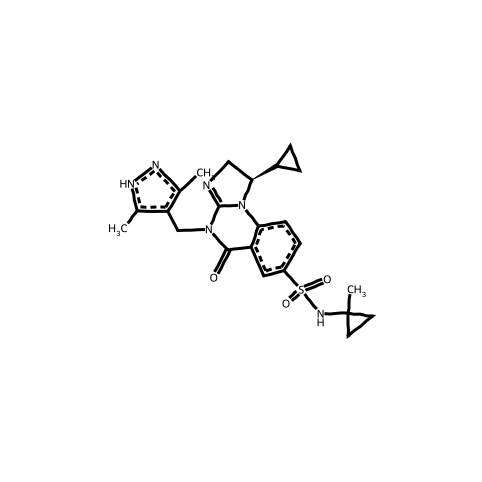 Cc1n[nH]c(C)c1CN1C(=O)c2cc(S(=O)(=O)NC3(C)CC3)ccc2N2C1=NC[C@H]2C1CC1